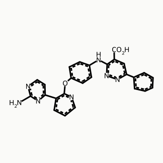 Nc1nccc(-c2cccnc2Oc2ccc(Nc3nnc(-c4ccccc4)cc3C(=O)O)cc2)n1